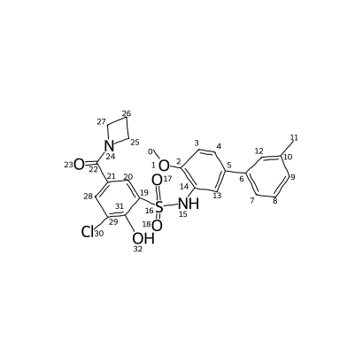 COc1ccc(-c2cccc(C)c2)cc1NS(=O)(=O)c1cc(C(=O)N2CCC2)cc(Cl)c1O